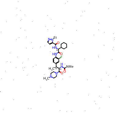 CCn1nccc1C(=O)N[C@H](C(=O)Nc1ccc([C@H](C)[C@@H](NC(=O)NC)C(=O)N2CCN(C)CC2)cc1F)C1CCCCC1